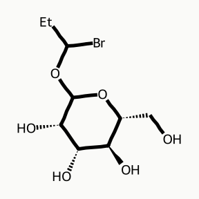 CCC(Br)OC1O[C@H](CO)[C@@H](O)[C@H](O)[C@@H]1O